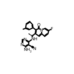 Cc1cccc(-c2c([C@H](C)Nc3ncnc(N)c3C#N)cc3ccc(F)cn3c2=O)c1